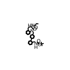 CCC(=O)N[C@@H]1CCc2ccccc2N(Cc2ccc(-c3ccccc3CNC(=O)OC(C)(C)C)cc2)C1=O